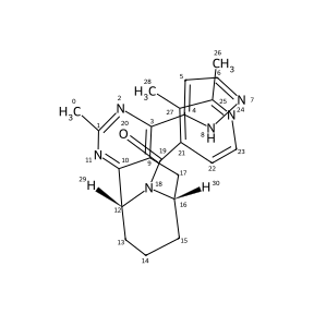 Cc1nc(-c2ccn[nH]2)c2c(n1)[C@H]1CCC[C@@H](C2)N1C(=O)c1ccnc(C)c1C